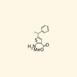 COC(=O)c1cc(C(C)c2ccccc2)sc1N